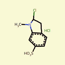 CN1c2cc(S(=O)(=O)O)ccc2CC1Cl.Cl